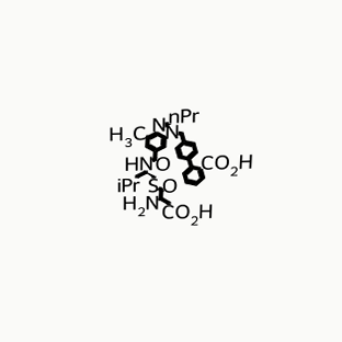 CCCc1nc2c(C)cc(C(=O)N[C@@H](CSC(=O)[C@H](N)CC(=O)O)CC(C)C)cc2n1Cc1ccc(-c2ccccc2C(=O)O)cc1